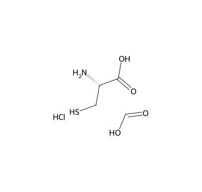 Cl.N[C@@H](CS)C(=O)O.O=CO